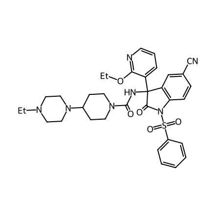 CCOc1ncccc1C1(NC(=O)N2CCC(N3CCN(CC)CC3)CC2)C(=O)N(S(=O)(=O)c2ccccc2)c2ccc(C#N)cc21